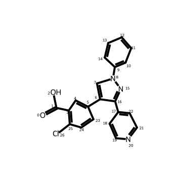 O=C(O)c1cc(-c2cn(-c3ccccc3)nc2-c2ccncc2)ccc1Cl